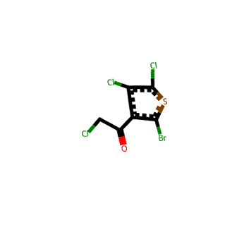 O=C(CCl)c1c(Br)sc(Cl)c1Cl